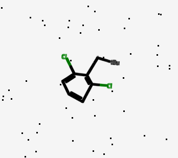 CC(C)(C)[CH]c1c(Cl)cccc1Cl